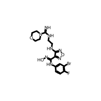 N=C(NCCNc1nonc1/C(=N/O)Nc1ccc(F)c(Br)c1)N1CCOCC1